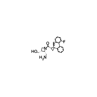 NC[C@@H]1[C@H](CO)CN1C(=O)[C@@H]1CC1(F)c1ccccc1-c1c(F)cccc1F